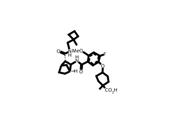 COc1cc(F)c(OC2CCC(C)(C(=O)O)CC2)cc1C(=O)NC1[C@H]2CCC(C2)[C@@H]1C(=O)NCC1(C)CCC1